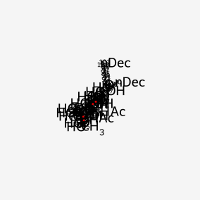 CCCCCCCCCCCCC/C=C/[C@@H](O)[C@H](CO[C@@H]1OC(CO)[C@@H](O[C@@H]2OC(CO)[C@H](O[C@@H]3OC(CO)[C@H](O)[C@H](O[C@@H]4OC(CO[C@@H]5OC(CO)[C@@H](O[C@@H]6OC(CO)[C@H](O)[C@H](O)C6O)[C@H](O[C@H]6C(O)[C@H](O)C(C)O[C@H]6O)C5NC(C)=O)[C@H](O)[C@H](O)C4NC(C)=O)C3O)[C@H](O)C2O)[C@H](O)C1O)NC(=O)CCCCCCCCCCCCCCCCCCCCC